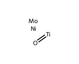 [Mo].[Ni].[O]=[Ti]